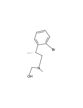 C[C@@H](CN(C)CO)c1ccccc1Br